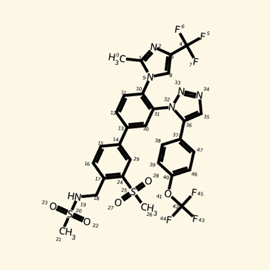 Cc1nc(C(F)(F)F)cn1-c1ccc(-c2ccc(CNS(C)(=O)=O)c(S(C)(=O)=O)c2)cc1-n1nncc1-c1ccc(OC(F)(F)F)cc1